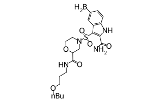 Bc1ccc2[nH]c(C(N)=O)c(S(=O)(=O)N3CCOC(C(=O)NCCCOCCCC)C3)c2c1